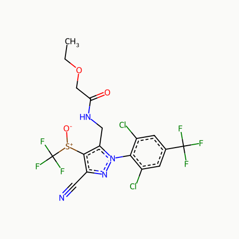 CCOCC(=O)NCc1c([S+]([O-])C(F)(F)F)c(C#N)nn1-c1c(Cl)cc(C(F)(F)F)cc1Cl